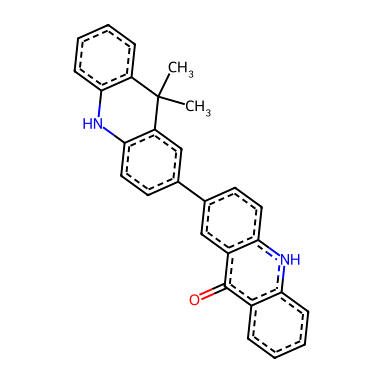 CC1(C)c2ccccc2Nc2ccc(-c3ccc4[nH]c5ccccc5c(=O)c4c3)cc21